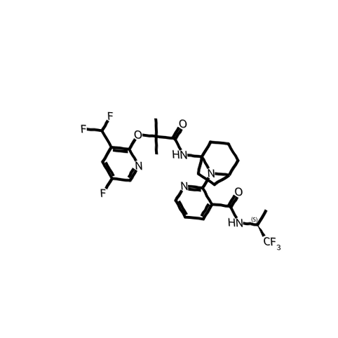 C[C@H](NC(=O)c1cccnc1N1C2CCCC1(NC(=O)C(C)(C)Oc1ncc(F)cc1C(F)F)CC2)C(F)(F)F